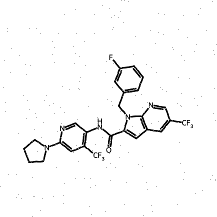 O=C(Nc1cnc(N2CCCC2)cc1C(F)(F)F)c1cc2cc(C(F)(F)F)cnc2n1Cc1cccc(F)c1